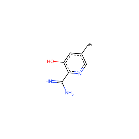 CC(C)c1cnc(C(=N)N)c(O)c1